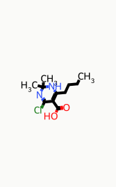 CCCCC1=C(C(=O)O)C(Cl)=NC(C)(C)N1